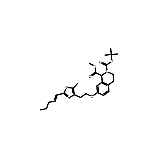 CCC/C=C/c1nc(CCOc2ccc3c(c2)C(C(=O)OC)N(C(=O)OC(C)(C)C)CC3)c(C)o1